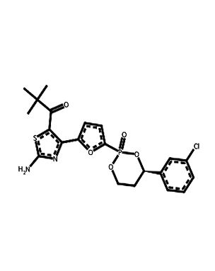 CC(C)(C)C(=O)c1sc(N)nc1-c1ccc(P2(=O)OCC[C@H](c3cccc(Cl)c3)O2)o1